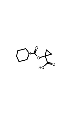 O=C(OC1(C(=O)O)CC1)N1CCCCC1